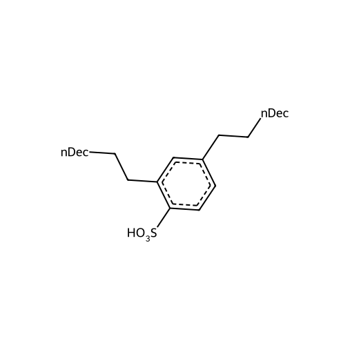 CCCCCCCCCCCCc1ccc(S(=O)(=O)O)c(CCCCCCCCCCCC)c1